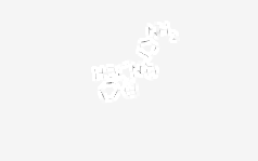 Nc1ccc(C(=O)N2CCC(O)(c3ccccc3Cl)CC2)cc1